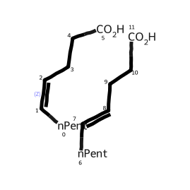 CCCCC/C=C\CCC(=O)O.CCCCCC=CCCC(=O)O